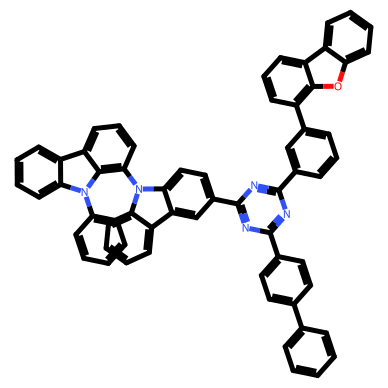 c1ccc(-c2ccc(-c3nc(-c4cccc(-c5cccc6c5oc5ccccc56)c4)nc(-c4ccc5c(c4)c4ccccc4n5-c4cccc5c6ccccc6n(-c6ccccc6)c45)n3)cc2)cc1